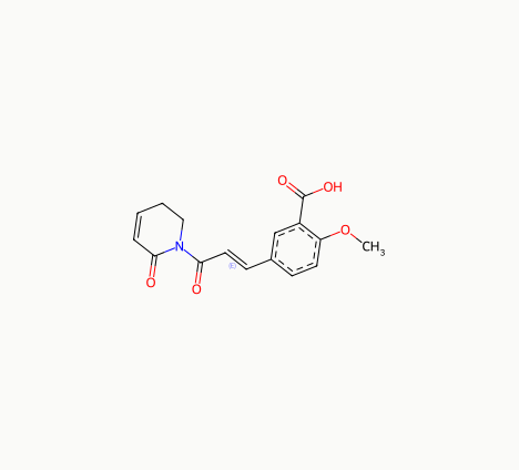 COc1ccc(/C=C/C(=O)N2CCC=CC2=O)cc1C(=O)O